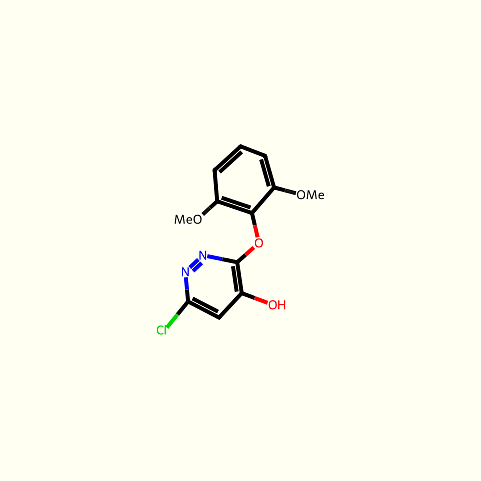 COc1cccc(OC)c1Oc1nnc(Cl)cc1O